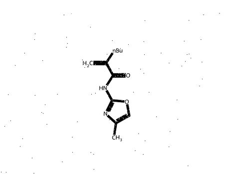 C=C(CCCC)C(=O)Nc1nc(C)co1